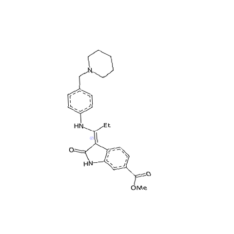 CC/C(Nc1ccc(CN2CCCCC2)cc1)=C1/C(=O)Nc2cc(C(=O)OC)ccc21